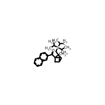 CC(C)[Si](C[C@]1(C)CC2CC1(C(=O)c1ccc3ccccc3c1)C2)(C(C)C)C(C)C